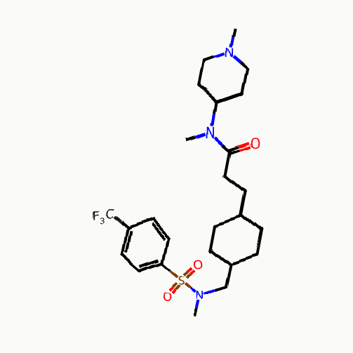 CN1CCC(N(C)C(=O)CCC2CCC(CN(C)S(=O)(=O)c3ccc(C(F)(F)F)cc3)CC2)CC1